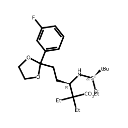 CCOC(=O)C(CC)(CC)[C@@H](CCC1(c2cccc(F)c2)OCCO1)N[S@+]([O-])C(C)(C)C